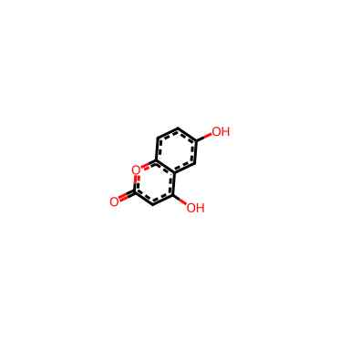 O=c1cc(O)c2cc(O)ccc2o1